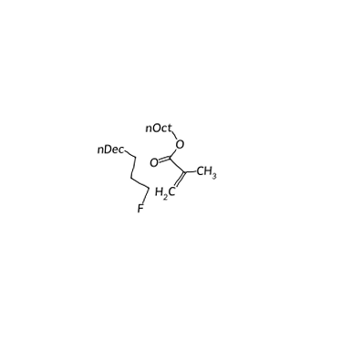 C=C(C)C(=O)OCCCCCCCC.CCCCCCCCCCCCCF